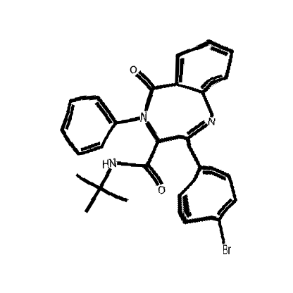 CC(C)(C)NC(=O)C1C(c2ccc(Br)cc2)=Nc2ccccc2C(=O)N1c1ccccc1